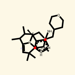 CC1Cc2c(N)n[nH]c2C(C)(C)/C=C(\N2C[C@H](C)N(CC3CCOCC3)C[C@@H]2C)C1C